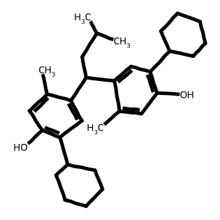 Cc1cc(O)c(C2CCCCC2)cc1C(CC(C)C)c1cc(C2CCCCC2)c(O)cc1C